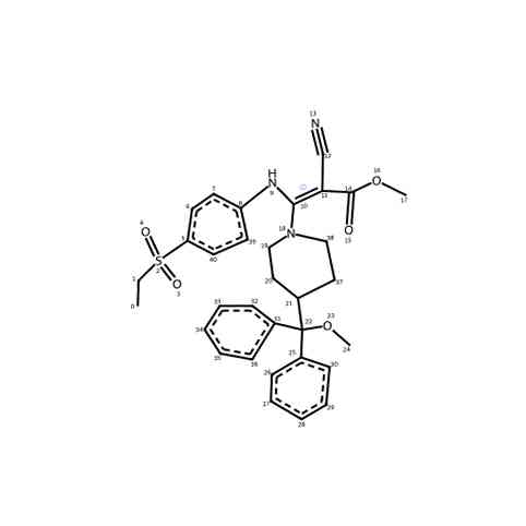 CCS(=O)(=O)c1ccc(N/C(=C(\C#N)C(=O)OC)N2CCC(C(OC)(c3ccccc3)c3ccccc3)CC2)cc1